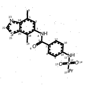 Cc1cc(NC(=O)c2ccc(NS(=O)(=O)C(C)C)cc2)c(C)c2scnc12